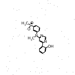 CN(c1cccc(S(C)(=O)=O)c1)c1cc(-c2ccccc2O)ncn1